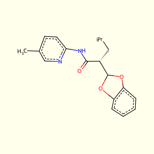 Cc1ccc(NC(=O)[C@H](CC(C)C)C2Oc3ccccc3O2)nc1